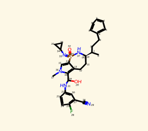 CC(CCc1ccccc1)[C@H]1CCc2c(cn(C)c2C(O)Nc2ccc(F)c(C#N)c2)S(=O)(=NC2CC2)N1